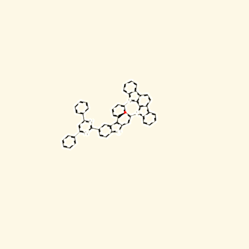 c1ccc(-c2cc(-c3ccccc3)nc(-c3ccc4oc5cc(-n6c7ccccc7c7ccc8c9ccccc9n(-c9ccccc9)c8c76)ccc5c4c3)n2)cc1